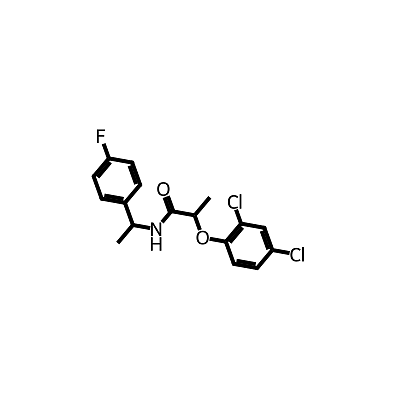 CC(Oc1ccc(Cl)cc1Cl)C(=O)NC(C)c1ccc(F)cc1